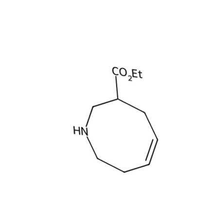 CCOC(=O)C1CC=CCCNC1